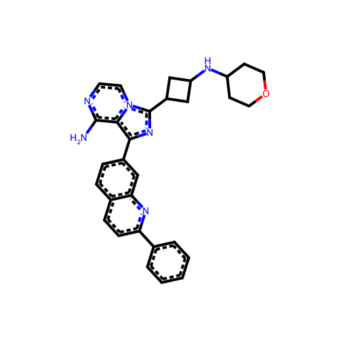 Nc1nccn2c(C3CC(NC4CCOCC4)C3)nc(-c3ccc4ccc(-c5ccccc5)nc4c3)c12